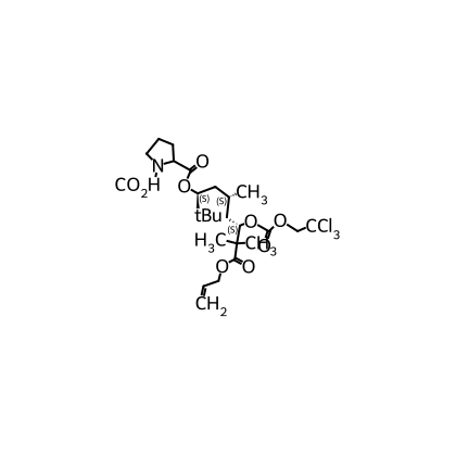 C=CCOC(=O)C(C)(C)[C@H](C[C@@H](C)C[C@H](OC(=O)C1CCCN1C(=O)O)C(C)(C)C)OC(=O)OCC(Cl)(Cl)Cl